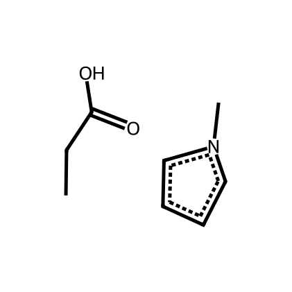 CCC(=O)O.Cn1cccc1